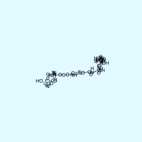 CCS(=S)CC[C@@H]1C[C@H](n2cc(C#CCNC(=O)OCCCCOCSSc3ccc(CC(=O)NCCOCCOCCOCCCn4cc(CNC(=O)c5ccc(C(=O)O)c(C6=c7cc8c9c(c7Oc7c6cc6c%10c7CCCN%10CCC6)CCC[N+]=9CCC8)c5)nn4)cc3)c(=O)[nH]c2=O)O[C@@H]1COP(=O)(O)OP(=O)(O)OP(=O)(O)O